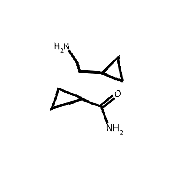 NC(=O)[C]1CC1.NCC1CC1